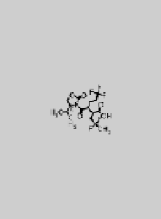 CC(C)[C@H]1COC(=O)N1C(=O)C(CCC(F)(F)F)C(CC(C)(F)F)C(=O)O